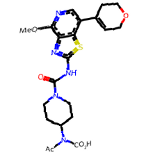 COc1ncc(C2=CCOCC2)c2sc(NC(=O)N3CCC(N(C(C)=O)C(=O)O)CC3)nc12